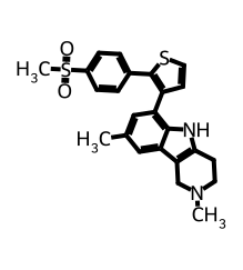 Cc1cc(-c2ccsc2-c2ccc(S(C)(=O)=O)cc2)c2[nH]c3c(c2c1)CN(C)CC3